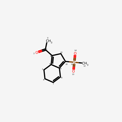 CC(=O)C1=C2CCC=CC2=C(S(C)(=O)=O)C1